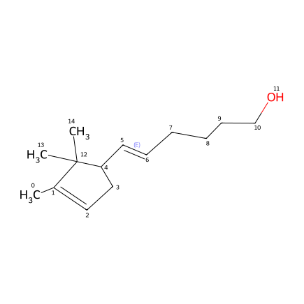 CC1=CCC(/C=C/CCCCO)C1(C)C